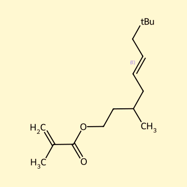 C=C(C)C(=O)OCCC(C)C/C=C/CC(C)(C)C